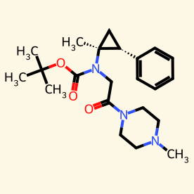 CN1CCN(C(=O)CN(C(=O)OC(C)(C)C)[C@@]2(C)C[C@@H]2c2ccccc2)CC1